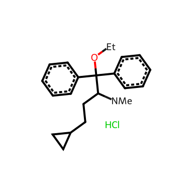 CCOC(c1ccccc1)(c1ccccc1)C(CCC1CC1)NC.Cl